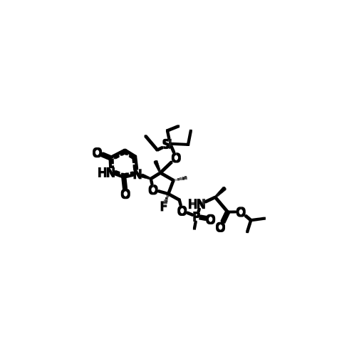 CC[Si](CC)(CC)O[C@@]1(C)[C@H](n2ccc(=O)[nH]c2=O)O[C@](F)(COP(C)(=O)N[C@@H](C)C(=O)OC(C)C)[C@H]1C